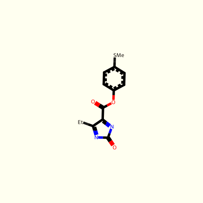 CCC1=NC(=O)N=C1C(=O)Oc1ccc(SC)cc1